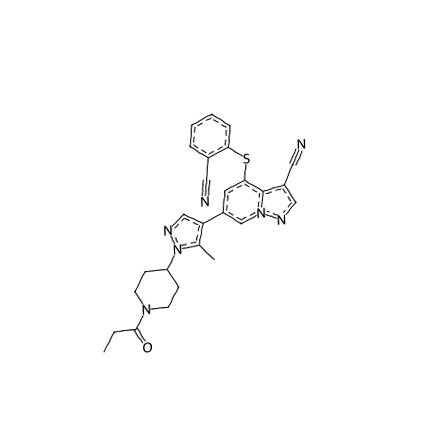 CCC(=O)N1CCC(n2ncc(-c3cc(Sc4ccccc4C#N)c4c(C#N)cnn4c3)c2C)CC1